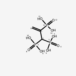 C=C(C(P(=O)(O)O)P(=O)(O)O)P(=O)(O)O